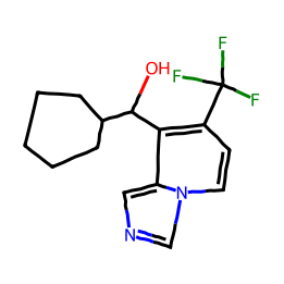 OC(c1c(C(F)(F)F)ccn2cncc12)C1CCCCC1